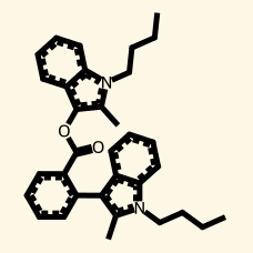 CCCCn1c(C)c(OC(=O)c2ccccc2-c2c(C)n(CCCC)c3ccccc23)c2ccccc21